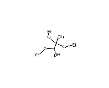 CCOC(O)C(O)(OCC)OCC